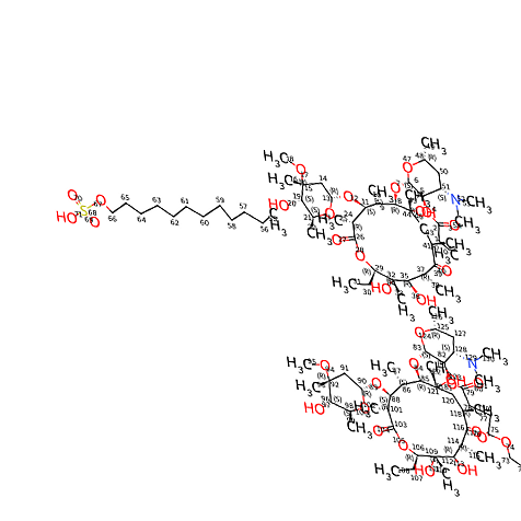 CCC(=O)O[C@H]1[C@H](O[C@@H]2[C@@H](C)[C@H](O[C@H]3C[C@@](C)(OC)[C@@H](O)[C@H](C)O3)[C@@H](C)C(=O)O[C@H](CC)[C@@](C)(O)[C@H](O)[C@@H](C)C(=O)[C@H](C)C[C@@]2(C)O)O[C@H](C)C[C@@H]1N(C)C.CCCCCCCCCCCCOS(=O)(=O)O.CCOC(=O)CCC(=O)O[C@H]1[C@H](O[C@@H]2[C@@H](C)[C@H](O[C@H]3C[C@@](C)(OC)[C@@H](O)[C@H](C)O3)[C@@H](C)C(=O)O[C@H](CC)[C@@](C)(O)[C@H](O)[C@@H](C)C(=O)[C@H](C)C[C@@]2(C)O)O[C@H](C)C[C@@H]1N(C)C